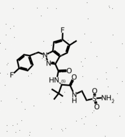 Cc1cc2c(C(=O)N[C@H](C(=O)NCCS(N)(=O)=O)C(C)(C)C)nn(Cc3ccc(F)cc3)c2cc1F